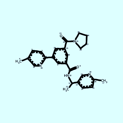 Cc1ccc(-c2cc(C(=O)NC(C)c3ccc(C)nc3)cc(C(=O)N3CCCC3)c2)nc1